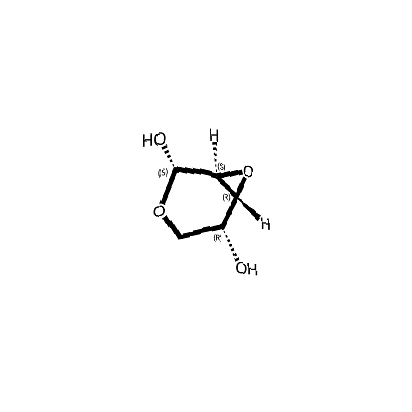 O[C@@H]1CO[C@H](O)[C@H]2O[C@@H]21